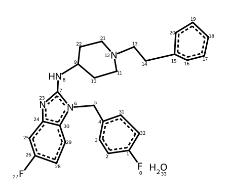 Fc1ccc(Cn2c(NC3CCN(CCc4ccccc4)CC3)nc3cc(F)ccc32)cc1.O